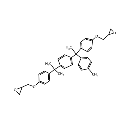 Cc1ccc(C(C)(c2ccc(OCC3CO3)cc2)c2ccc(C(C)(C)c3ccc(OCC4CO4)cc3)cc2)cc1